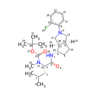 CC(C)C[C@@H](C(=O)N[C@H]1CC[C@@H]2CN(c3ccccc3F)C[C@@H]21)N(C)C(=O)OC(C)(C)C